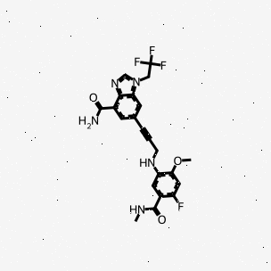 CNC(=O)c1cc(NCC#Cc2cc(C(N)=O)c3ncn(CC(F)(F)F)c3c2)c(OC)cc1F